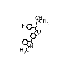 Cc1ncc(-c2ccc3c(c2)COC3C(CCN(C)C)c2ccc(F)cc2)c2ccccc12